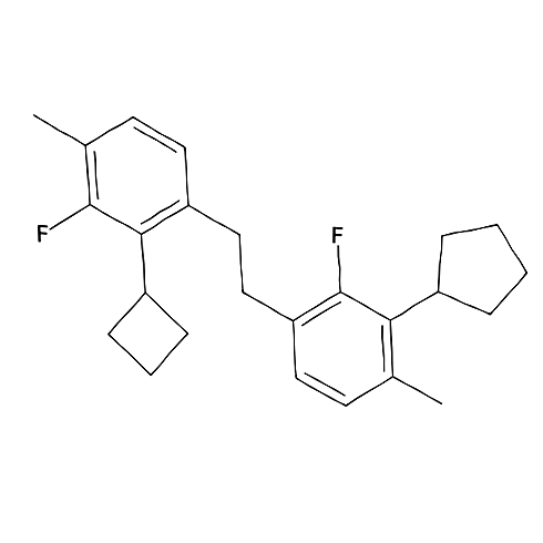 Cc1ccc(CCc2ccc(C)c(C3CCCC3)c2F)c(C2CCC2)c1F